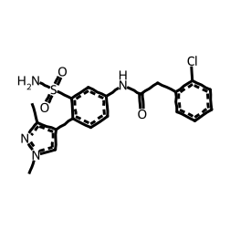 Cc1nn(C)cc1-c1ccc(NC(=O)Cc2ccccc2Cl)cc1S(N)(=O)=O